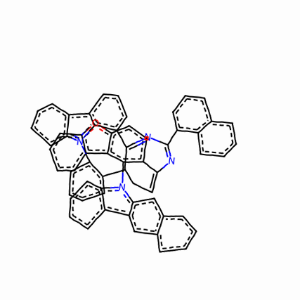 C1=C(c2ccc3oc4ccccc4c3c2-n2c3ccccc3c3cc4ccccc4cc32)/N=C(c2cccc3ccccc23)\N=C2\c3cccc4c5ccccc5n(c34)-c3ccccc3C2C/1